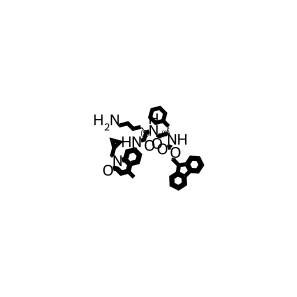 Cc1cc(=O)n(CC2CC2)c2cc(NC(=O)[C@H](CCCCN)NC(=O)[C@H](CC3CCCCC3)NC(=O)OCC3c4ccccc4-c4ccccc43)ccc12